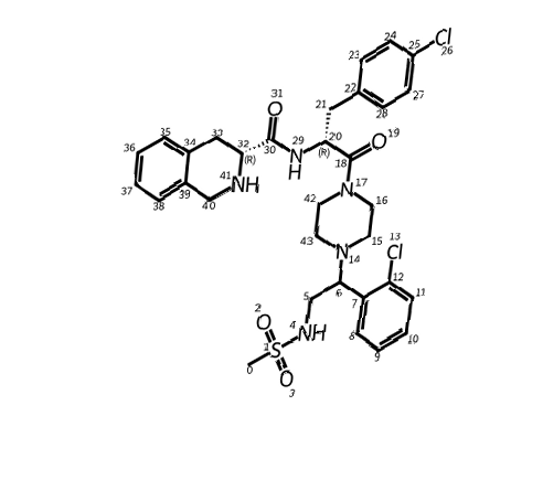 CS(=O)(=O)NCC(c1ccccc1Cl)N1CCN(C(=O)[C@@H](Cc2ccc(Cl)cc2)NC(=O)[C@H]2Cc3ccccc3CN2)CC1